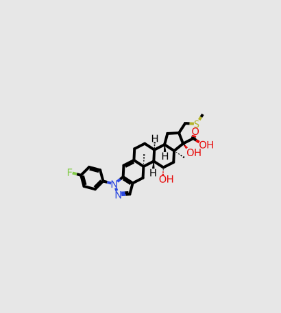 CSCC1C[C@H]2[C@@H]3CCC4=Cc5c(cnn5-c5ccc(F)cc5)C[C@]4(C)[C@H]3[C@@H](O)C[C@]2(C)[C@@]1(O)C(=O)O